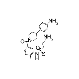 Cc1ccc(C(=O)N2CCC(c3ccc(N)cc3)CC2)cc1NS(=O)(=O)CCCN